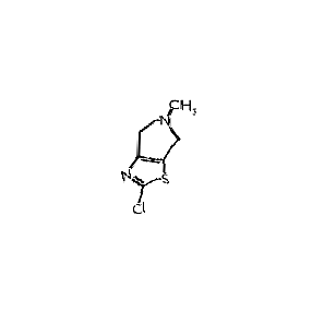 CN1Cc2nc(Cl)sc2C1